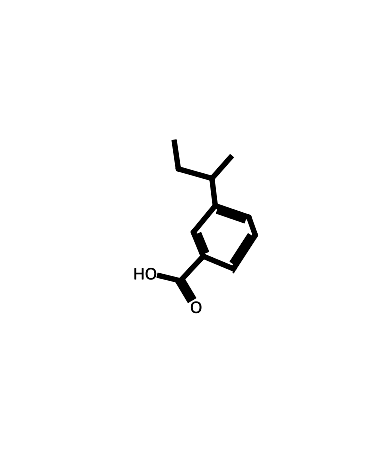 CCC(C)c1cc[c]c(C(=O)O)c1